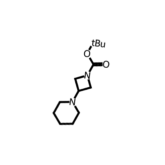 CC(C)(C)OC(=O)N1CC(N2CCCCC2)C1